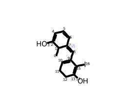 CC1C(O)=CC=C/C1=C/C1=CCCC(O)=C1I